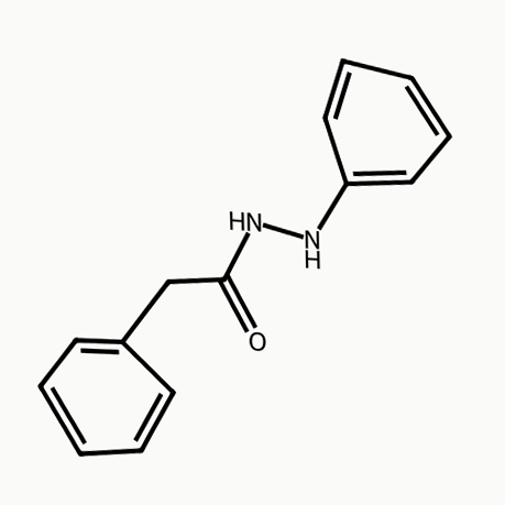 O=C(Cc1ccccc1)NNc1ccccc1